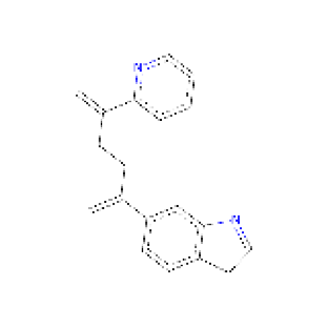 C=C(CCC(=C)c1ccccn1)c1ccc2c(c1)N=CC2